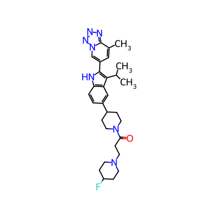 Cc1cc(-c2[nH]c3ccc(C4CCN(C(=O)CCN5CCC(F)CC5)CC4)cc3c2C(C)C)cn2nnnc12